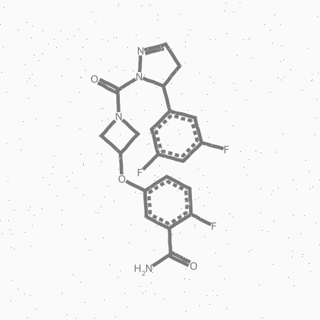 NC(=O)c1cc(OC2CN(C(=O)N3N=CCC3c3cc(F)cc(F)c3)C2)ccc1F